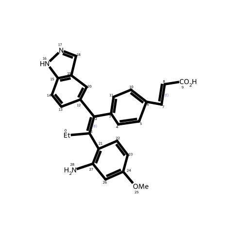 CC/C(=C(/c1ccc(/C=C/C(=O)O)cc1)c1ccc2[nH]ncc2c1)c1ccc(OC)cc1N